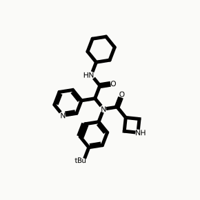 CC(C)(C)c1c#cc(N(C(=O)C2CNC2)C(C(=O)NC2CCCCC2)c2cccnc2)cc1